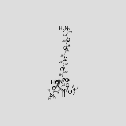 CC(C)(C)OC(=O)N[C@](CC[Si](C)(C)C)(CNC(=O)CCOCCOCCOCCOCCN)C(=O)O